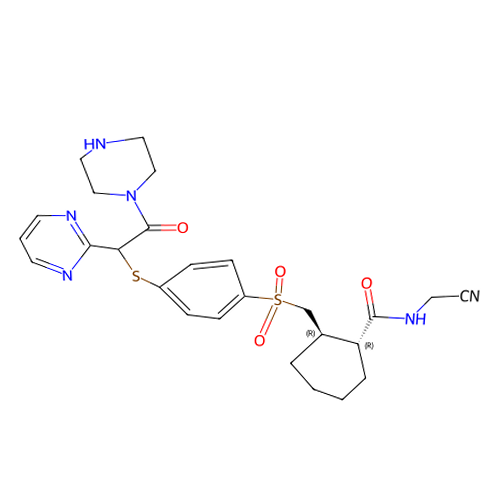 N#CCNC(=O)[C@@H]1CCCC[C@H]1CS(=O)(=O)c1ccc(SC(C(=O)N2CCNCC2)c2ncccn2)cc1